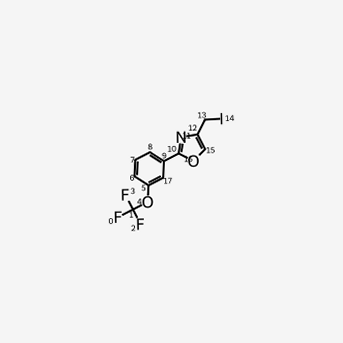 FC(F)(F)Oc1cccc(-c2nc(CI)co2)c1